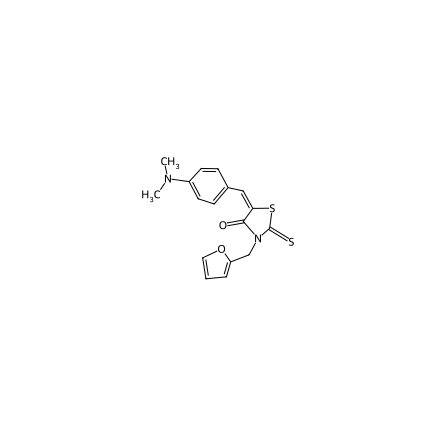 CN(C)c1ccc(C=C2SC(=S)N(Cc3ccco3)C2=O)cc1